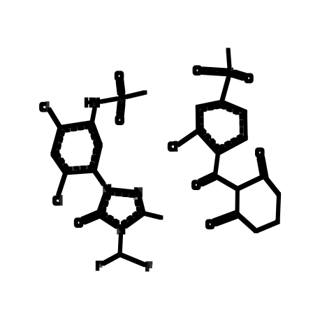 CS(=O)(=O)c1ccc(C(=O)C2C(=O)CCCC2=O)c(Cl)c1.Cc1nn(-c2cc(NS(C)(=O)=O)c(Cl)cc2Cl)c(=O)n1C(F)F